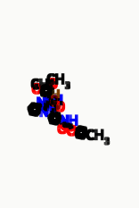 COc1cc(Nc2nc3ccccc3nc2N(c2cccc(NC(=O)COc3ccc(C)cc3)c2)[SH](=O)=O)cc(OC)c1